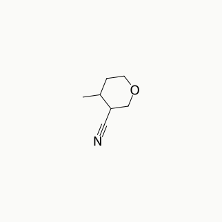 CC1CCOCC1C#N